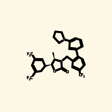 C[C@H]1[C@@H](C2C=C(C(F)(F)F)C=C(C(F)(F)F)C2)OC(=O)N1Cc1cc(C(F)(F)F)ccc1-c1cccc(N2CCCC2)c1